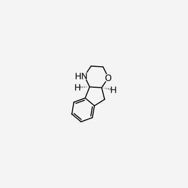 c1ccc2c(c1)C[C@@H]1OCCN[C@H]21